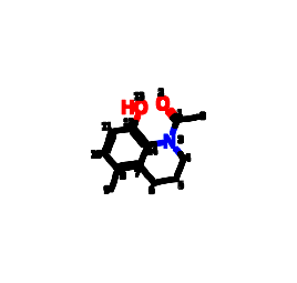 CC(=O)N1CCCc2c(C)ccc(O)c21